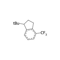 CC(C)(C)C1CCc2c1cccc2C(F)(F)F